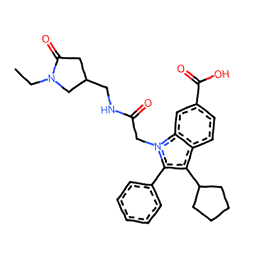 CCN1CC(CNC(=O)Cn2c(-c3ccccc3)c(C3CCCC3)c3ccc(C(=O)O)cc32)CC1=O